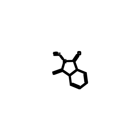 C=C1C2C=CC=CC2C(=O)N1C(C)(C)C